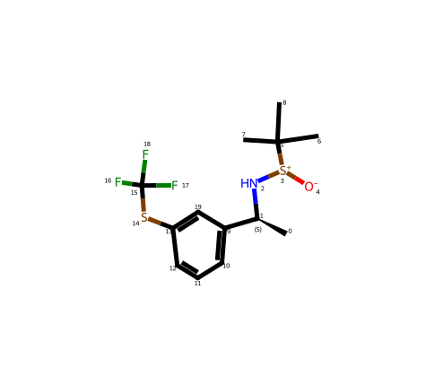 C[C@H](N[S+]([O-])C(C)(C)C)c1cccc(SC(F)(F)F)c1